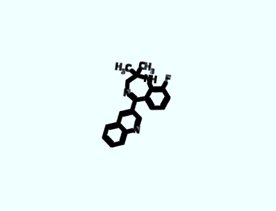 CC1(C)CN=C(c2cnc3ccccc3c2)c2cccc(F)c2N1